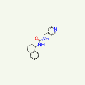 O=C(NCc1ccncc1)NC1CCCc2ccccc21